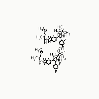 COCC[C@H](C)Nc1nc2ccc(-c3nc(C(C)(C)C(=O)OC)[nH]c3-c3ccc(F)cc3F)nc2o1.COCC[C@H](C)Nc1nc2ccc(-c3nc(C(C)(C)CO)[nH]c3-c3ccc(F)cc3F)nc2o1